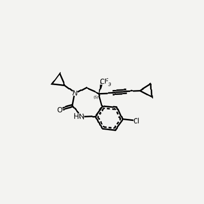 O=C1Nc2ccc(Cl)cc2[C@](C#CC2CC2)(C(F)(F)F)CN1C1CC1